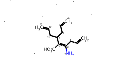 C=CCC(N)=C(C(=O)O)C(CC=C)CC=C